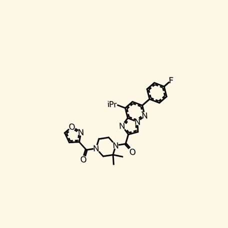 CC(C)c1cc(-c2ccc(F)cc2)nn2cc(C(=O)N3CCN(C(=O)c4ccon4)CC3(C)C)nc12